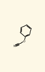 N#COc1[c]cccc1